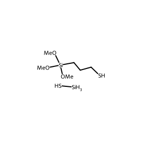 CO[Si](CCCS)(OC)OC.[SiH3]S